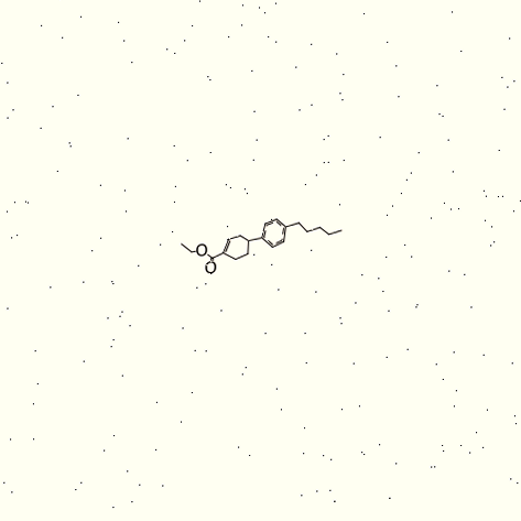 CCCCCc1ccc(C2CC=C(C(=O)OCC)CC2)cc1